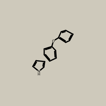 c1cc[nH]c1.c1ccc(Oc2ccccc2)cc1